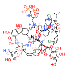 CN[C@H](CC(C)C)C(=O)N[C@H]1C(=O)N[C@@H](CC(N)=O)C(=O)N[C@H]2C(=O)N[C@H]3C(=O)N[C@H](C(=O)N[C@H](C(=O)O)c4cc(O)cc(O)c4-c4cc3ccc4O)[C@H](O[C@H]3C[C@](C)(N)[C@@H](O)[C@H](C)O3)c3ccc(c(Cl)c3)Oc3cc2cc(c3O[C@@H]2O[C@H](CO)[C@@H](O)[C@H](O)[C@H]2O[C@H]2C[C@](C)(N(Cc3ccc(-c4ccc(Cl)cc4)cc3)C(=O)OCOC(=O)CCC(=O)NC(P(=O)(O)O)P(=O)(O)O)[C@@H](O)[C@H](C)O2)Oc2ccc(cc2Cl)[C@H]1O